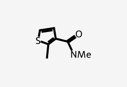 CNC(=O)c1ccsc1C